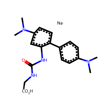 CN(C)c1ccc(-c2ccc(N(C)C)cc2NC(=O)NCC(=O)O)cc1.[Na]